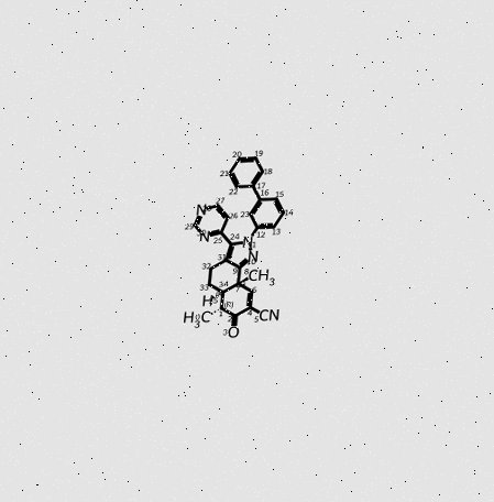 C[C@H]1C(=O)C(C#N)=C[C@@]2(C)c3nn(-c4cccc(-c5ccccc5)c4)c(-c4ccncn4)c3CC[C@H]12